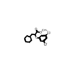 COC(=O)C(CC1CCCCC1)Oc1cc(Cl)cc(Cl)c1